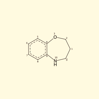 [CH]1CCOc2ccccc2N1